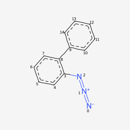 [N-]=[N+]=Nc1ccccc1-c1ccccc1